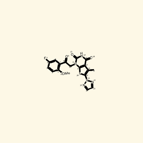 COc1ccc(F)cc1C(=O)Cn1c(=O)[nH]c(=O)c2c(C)c(-n3nccn3)sc21